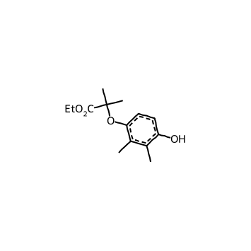 CCOC(=O)C(C)(C)Oc1ccc(O)c(C)c1C